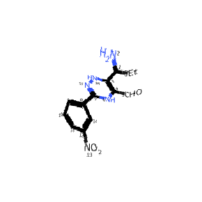 CCC(N)C1=C(C=O)NC(c2cccc([N+](=O)[O-])c2)=NN1